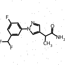 CC(C(N)=O)c1cnn(-c2cc(F)cc(C(F)F)c2)c1